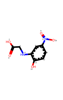 O=C(O)CNc1cc([N+](=O)[O-])ccc1O